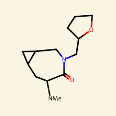 CNC1CC2CC2CN(CC2CCCO2)C1=O